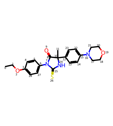 CCOc1ccc(N2C(=O)C(C)(c3ccc(N4CCOCC4)cc3)NC2=S)cc1